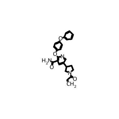 C=CC(=O)N1CCC(c2cnc(Oc3ccc(Oc4ccccc4)cc3)c(C(N)=O)c2)C1